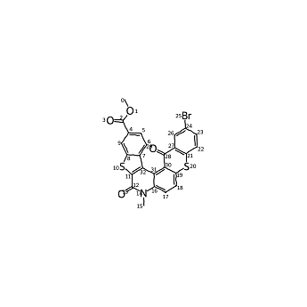 COC(=O)c1ccc2c(c1)sc1c(=O)n(C)c3ccc4sc5ccc(Br)cc5c(=O)c4c3c12